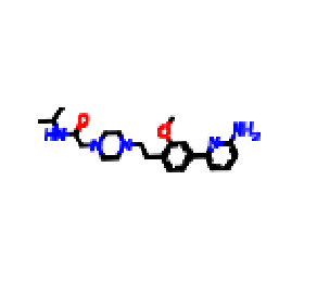 COc1cc(-c2cccc(N)n2)ccc1CCN1CCN(CC(=O)NC(C)C)CC1